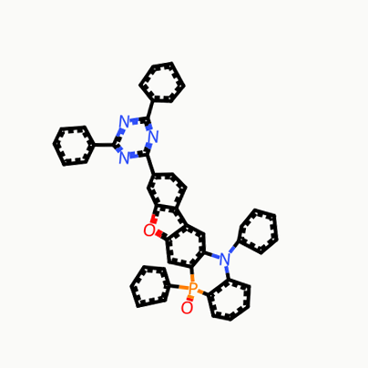 O=P1(c2ccccc2)c2ccccc2N(c2ccccc2)c2cc3c(cc21)oc1cc(-c2nc(-c4ccccc4)nc(-c4ccccc4)n2)ccc13